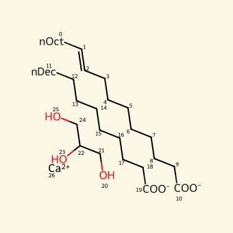 CCCCCCCCC=CCCCCCCCC(=O)[O-].CCCCCCCCCCCCCCCCCC(=O)[O-].OCC(O)CO.[Ca+2]